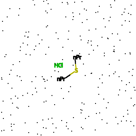 CCCSCCC.Cl